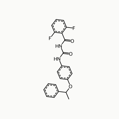 CC(Oc1ccc(NC(=O)NC(=O)c2c(F)cccc2F)cc1)c1ccccc1